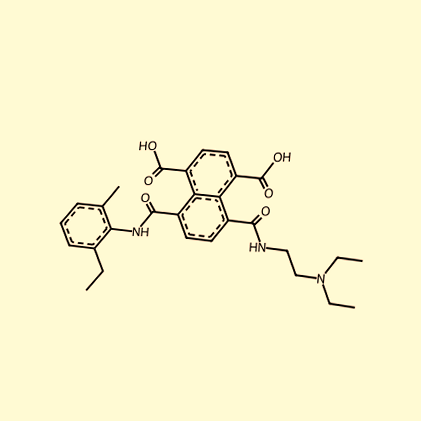 CCc1cccc(C)c1NC(=O)c1ccc(C(=O)NCCN(CC)CC)c2c(C(=O)O)ccc(C(=O)O)c12